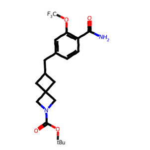 CC(C)(C)OC(=O)N1CC2(CC(Cc3ccc(C(N)=O)c(OC(F)(F)F)c3)C2)C1